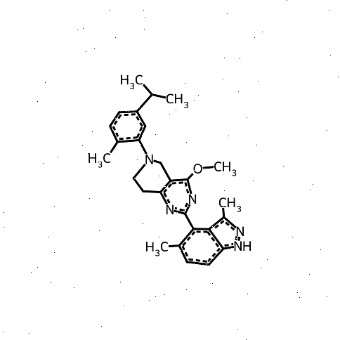 COc1nc(-c2c(C)ccc3[nH]nc(C)c23)nc2c1CN(c1cc(C(C)C)ccc1C)CC2